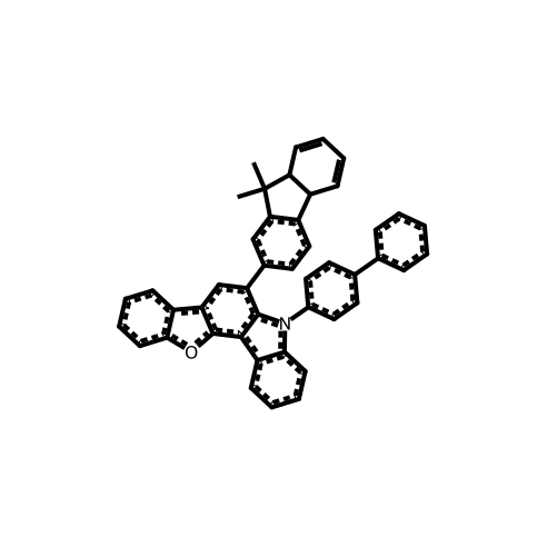 CC1(C)c2cc(-c3cc4c5ccccc5oc4c4c5ccccc5n(-c5ccc(-c6ccccc6)cc5)c34)ccc2C2C=CC=CC21